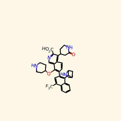 O=C1CC(c2c(C(=O)O)ncc3c(OC4CCNCC4)c(-c4cc(C(F)(F)F)c5ccccc5c4C4C5CNC4C5)ccc23)CCN1